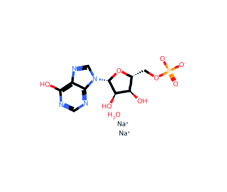 O.O=P([O-])([O-])OC[C@H]1O[C@@H](n2cnc3c(O)ncnc32)[C@H](O)[C@@H]1O.[Na+].[Na+]